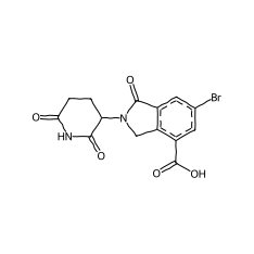 O=C1CCC(N2Cc3c(C(=O)O)cc(Br)cc3C2=O)C(=O)N1